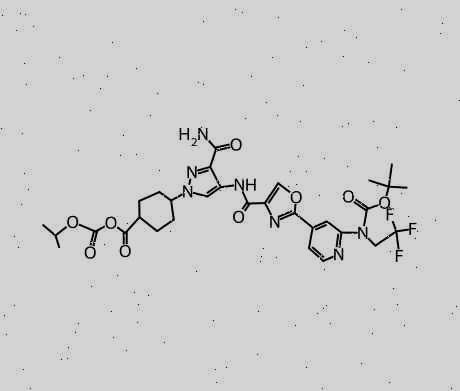 CC(C)OC(=O)OC(=O)C1CCC(n2cc(NC(=O)c3coc(-c4ccnc(N(CC(F)(F)F)C(=O)OC(C)(C)C)c4)n3)c(C(N)=O)n2)CC1